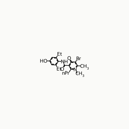 CCCc1c(C(=O)Nc2c(CC)cc(O)cc2CC)c(=O)c(Br)c(C)n1C